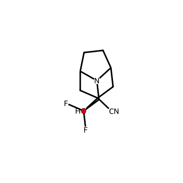 N#CC1(O)CC2CCC(C1)N2CC(F)F